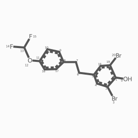 Oc1c(Br)cc(CCc2ccc(OC(F)F)cc2)cc1Br